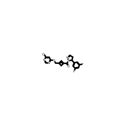 O=C(N1N=CCC1c1cc(F)cc(F)c1)C12CC(COc3cc(Cl)ncn3)(C1)C2